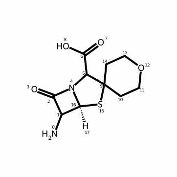 NC1C(=O)N2C(C(=O)O)C3(CCOCC3)S[C@@H]12